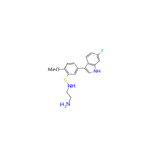 COc1ccc(-c2c[nH]c3cc(F)ccc23)cc1SNCCN